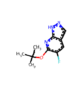 CC(C)(C)Oc1nc2[nH]ncc2cc1F